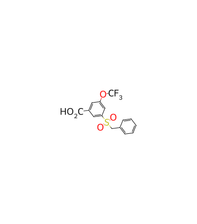 O=C(O)c1cc(OC(F)(F)F)cc(S(=O)(=O)Cc2ccccc2)c1